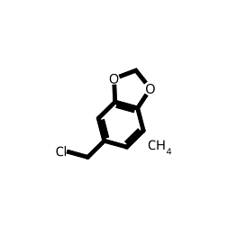 C.ClCc1ccc2c(c1)OCO2